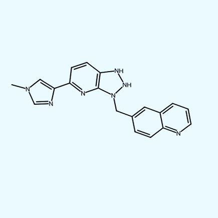 Cn1cnc(-c2ccc3c(n2)N(Cc2ccc4ncccc4c2)NN3)c1